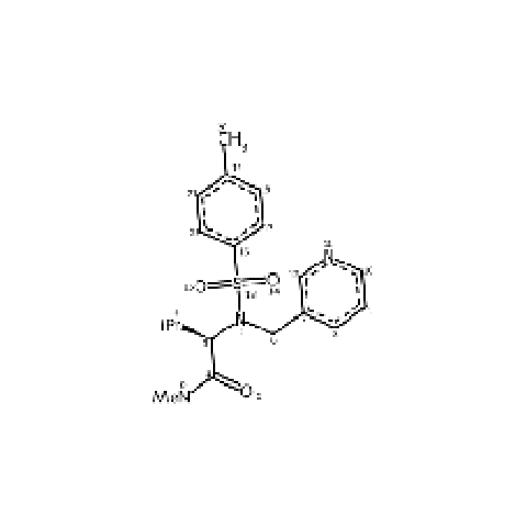 CNC(=O)[C@@H](C(C)C)N(Cc1cccnc1)S(=O)(=O)c1ccc(C)cc1